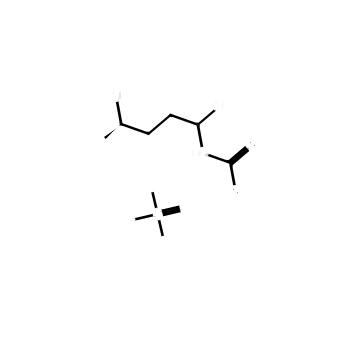 O=P(O)(O)O.[2H]C(CC[C@H](N)C(=O)O)NC(=N)N